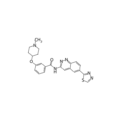 CN1CCC(Oc2cccc(C(=O)Nc3cc4cc(-c5nncs5)ccc4nn3)c2)CC1